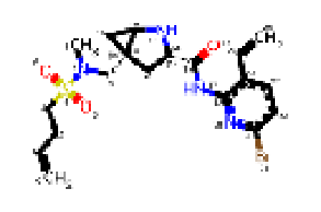 C=CCCS(=O)(=O)N(C)C[C@]12CC1N[C@H](C(=O)Nc1nc(Br)ccc1C=C)C2